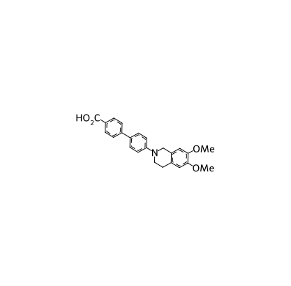 COc1cc2c(cc1OC)CN(c1ccc(-c3ccc(C(=O)O)cc3)cc1)CC2